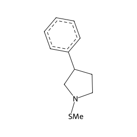 CSN1CCC(c2ccccc2)C1